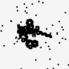 CCCCCCOC(=O)N[C@@H](CC1CCCCC1)C(=O)N[C@@H](CCC(=O)N1CCOc2ccccc2C1)C(O)P(=O)(OCC)OCC